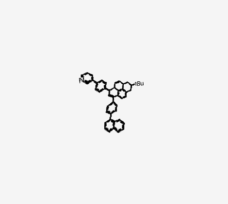 CC(C)(C)C1Cc2ccc3c4c2C(C=CC4C(c2ccc(-c4cccnc4)cc2)C=C3c2ccc(-c3cccc4ccccc34)cc2)C1